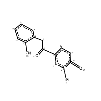 CC(C)n1nc(C(=O)Cc2ccccc2C#N)ccc1=O